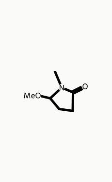 CO[C]1CCC(=O)N1C